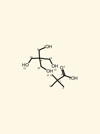 CC(C)(C)C(=O)O.OCC(CO)(CO)CO